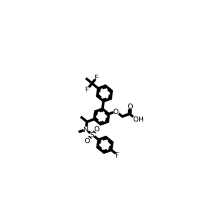 CC(c1ccc(OCC(=O)O)c(-c2cccc(C(C)(F)F)c2)c1)N(C)S(=O)(=O)c1ccc(F)cc1